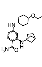 CCO[C@H]1CC[C@H](Nc2ccc(C(N)=O)c(NC34CCC(C3)C4)c2)CC1